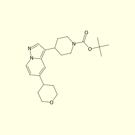 CC(C)(C)OC(=O)N1CCC(c2cnn3ccc(C4CCOCC4)cc23)CC1